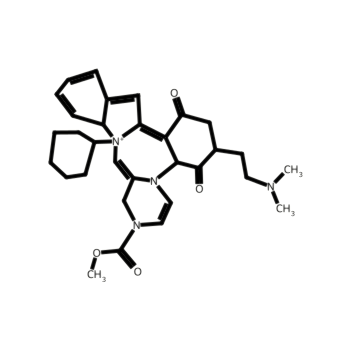 COC(=O)N1C=CN2C(=C[N+]3(C4CCCCC4)C(=C4C(=O)CC(CCN(C)C)C(=O)C42)C=C2C=CC=CC23)C1